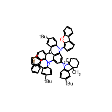 CC(C)(C)c1ccc2c(c1)B1c3ccc4sc5ccccc5c4c3N(c3ccc(C(C)(C)C)cc3-c3ccccc3)c3cc(N4c5ccc(C(C)(C)C)cc5C5(C)CCCCC45C)cc(c31)N2c1cccc2c1oc1ccccc12